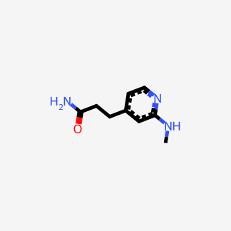 CNc1cc(CCC(N)=O)ccn1